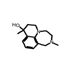 CN1CCN2CCC(C)(O)c3cccc(c32)C1